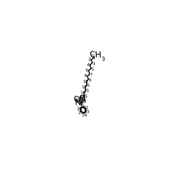 CCCCCCCCCCCCCCCCOCC(=NO)c1ccccc1